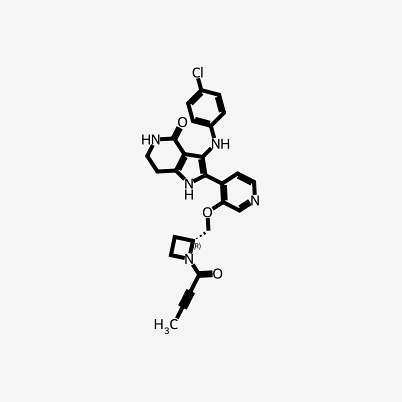 CC#CC(=O)N1CC[C@@H]1COc1cnccc1-c1[nH]c2c(c1Nc1ccc(Cl)cc1)C(=O)NCC2